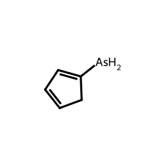 [AsH2]C1=CC=CC1